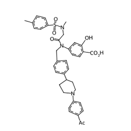 CC(=O)c1ccc(N2CCC(c3ccc(CN(C(=O)CN(C)S(=O)(=O)c4ccc(C)cc4)c4ccc(C(=O)O)c(O)c4)cc3)CC2)cc1